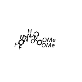 COc1ccc(C(=O)N2CCCCC2CNc2cnc3cc(F)c(F)cc3n2)cc1OC